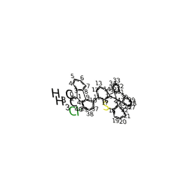 CC1(C)c2ccccc2-c2c(-c3cccc4c3Sc3ccccc3C43c4ccccc4-c4ccccc43)ccc(Cl)c21